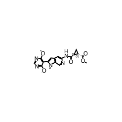 COC(=O)[C@H]1C[C@@H]1C(=O)Nc1cc2cc(-c3c(OC)ncnc3OC)n(C)c2cn1